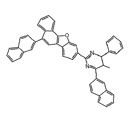 CC1C(c2ccc3ccccc3c2)=NC(c2ccc3c(c2)oc2c4ccccc4c(-c4ccc5ccccc5c4)cc32)=NC1c1ccccc1